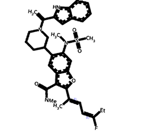 C=C(c1cc2ccccc2[nH]1)N1CCCC(c2cc3c(C(=O)NC)c(/C(C)=C/C=C(/F)CC)oc3cc2N(C)S(C)(=O)=O)C1